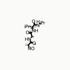 CC(C)NC(=O)[C@@H](NC(=O)CNC(=O)CN=O)C(C)C